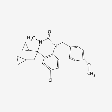 COc1ccc(CN2C(=O)N(C)C(CC3CC3)(C3CC3)c3cc(Cl)ccc32)cc1